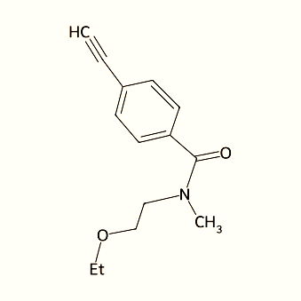 C#Cc1ccc(C(=O)N(C)CCOCC)cc1